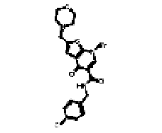 CC(C)n1cc(C(=O)NCc2ccc(Cl)cc2)c(=O)c2cc(CN3CCOCC3)sc21